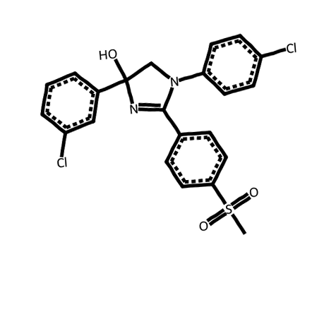 CS(=O)(=O)c1ccc(C2=NC(O)(c3cccc(Cl)c3)CN2c2ccc(Cl)cc2)cc1